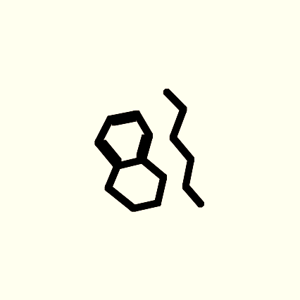 CCCCCC.c1ccc2c(c1)CCCC2